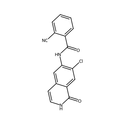 N#Cc1ccccc1C(=O)Nc1cc2cc[nH]c(=O)c2cc1Cl